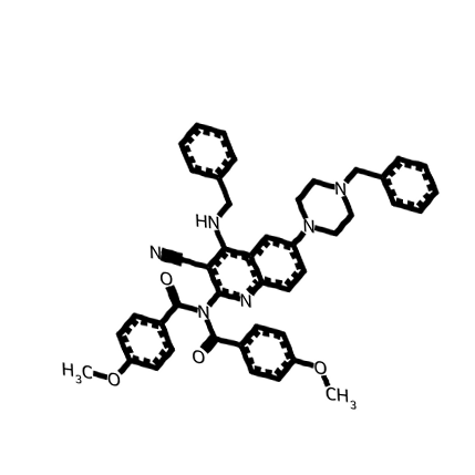 COc1ccc(C(=O)N(C(=O)c2ccc(OC)cc2)c2nc3ccc(N4CCN(Cc5ccccc5)CC4)cc3c(NCc3ccccc3)c2C#N)cc1